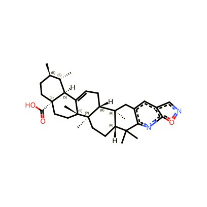 C[C@H]1[C@H](C)CC[C@]2(C(=O)O)CC[C@]3(C)C(=CC[C@@H]4[C@@]5(C)Cc6cc7cnoc7nc6C(C)(C)[C@@H]5CC[C@]43C)[C@H]12